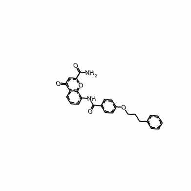 NC(=O)c1cc(=O)c2cccc(NC(=O)c3ccc(OCCCc4ccccc4)cc3)c2o1